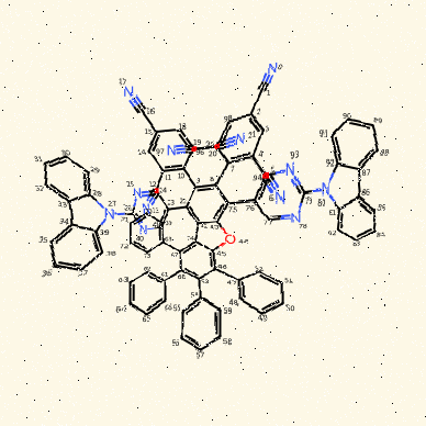 N#Cc1cc(C#N)c(-c2c(-c3c(C#N)cc(C#N)cc3C#N)c(-c3cnc(-n4c5ccccc5c5ccccc54)nc3)c3c(oc4c(-c5ccccc5)c(-c5ccccc5)c(-c5ccccc5)c(-c5ccccc5)c43)c2-c2cnc(-n3c4ccccc4c4ccccc43)nc2)c(C#N)c1